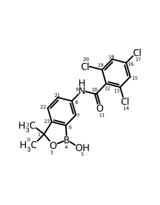 CC1(C)OB(O)c2cc(NC(=O)c3c(Cl)cc(Cl)cc3Cl)ccc21